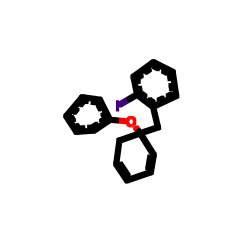 Ic1ccccc1CC1(Oc2ccccc2)C=CC=CC1